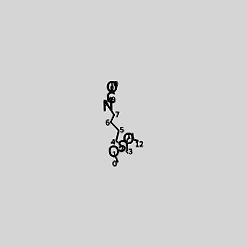 CO[Si](C)(CCCCN=C=O)OC